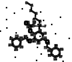 CCCCCCC(C)(C)c1cc(OCc2ccccc2)cc(OCc2ccccc2)c1OC(C)=O